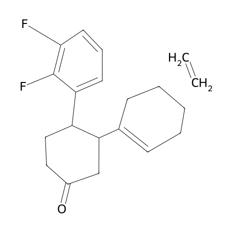 C=C.O=C1CCC(c2cccc(F)c2F)C(C2=CCCCC2)C1